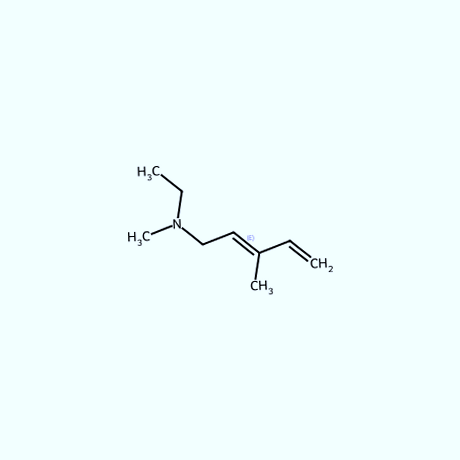 C=C/C(C)=C/CN(C)CC